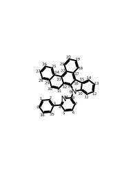 c1ccc(-c2cccc(-n3c4ccccc4c4c5ccccc5c5c6ccccc6ccc5c43)n2)cc1